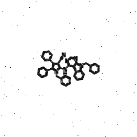 N#Cc1c(-c2ccccc2)c(-c2ccccc2)n(Cc2ccccc2)c1Nc1ncnc2c1c1ccccc1n2Cc1ccccc1